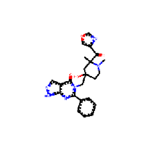 CN1CCC(O)(Cn2c(-c3ccccc3)nc3[nH]ncc3c2=O)CC1(C)C(=O)c1cocn1